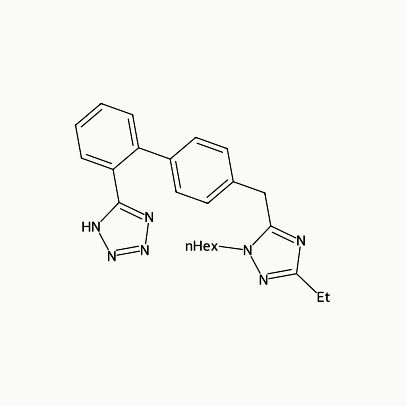 CCCCCCn1nc(CC)nc1Cc1ccc(-c2ccccc2-c2nnn[nH]2)cc1